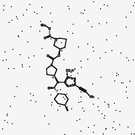 CC(C)(C)C#Cc1cc(N(C(=O)[C@H]2CC[C@H](C)CC2)[C@H]2CCN(C(=O)O[C@@H]3CCCN(C(=O)OC(C)(C)C)C3)C2)c(C(=O)O)s1